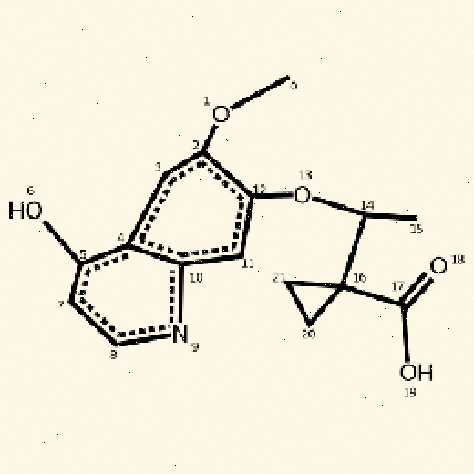 COc1cc2c(O)ccnc2cc1OC(C)C1(C(=O)O)CC1